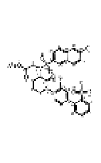 COC(=O)CN(C1CCCN(c2ccc(-c3ccccc3S(C)(=O)=O)cc2F)C1=O)S(=O)(=O)c1ccc2cc(Cl)ccc2c1